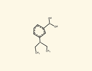 CCN(CC)c1cccc(B(O)O)c1